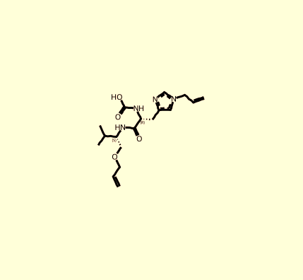 C=CCOC[C@@H](NC(=O)[C@@H](Cc1cn(CC=C)cn1)NC(=O)O)C(C)C